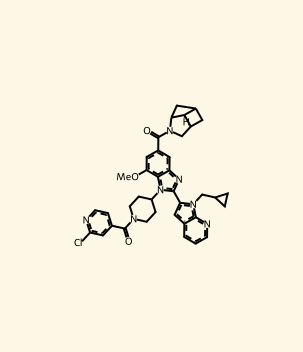 COc1cc(C(=O)N2CC3CC4CC2[C@H]43)cc2nc(-c3cc4cccnc4n3CC3CC3)n(C3CCN(C(=O)c4ccnc(Cl)c4)CC3)c12